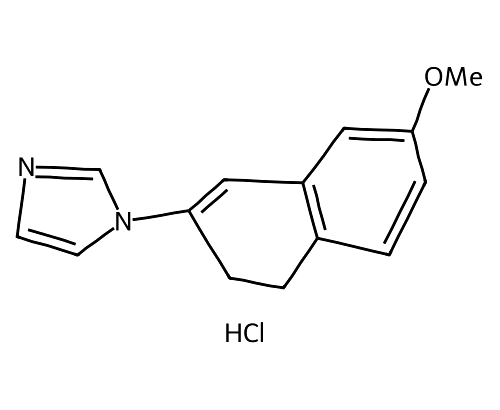 COc1ccc2c(c1)C=C(n1ccnc1)CC2.Cl